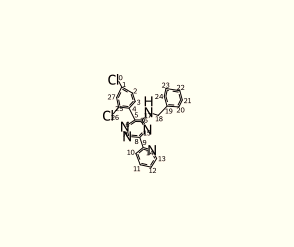 Clc1ccc(-c2nnc(-c3ccccn3)nc2NCc2ccccc2)c(Cl)c1